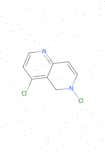 Clc1ccnc2c1CN(Cl)C=C2